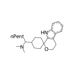 CCCCCC(C1CCC2(CC1)OCCc1c2[nH]c2ccccc12)N(C)C